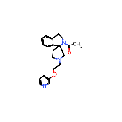 CC(=O)N1CCc2ccccc2C12CCN(CCOc1cccnc1)CC2